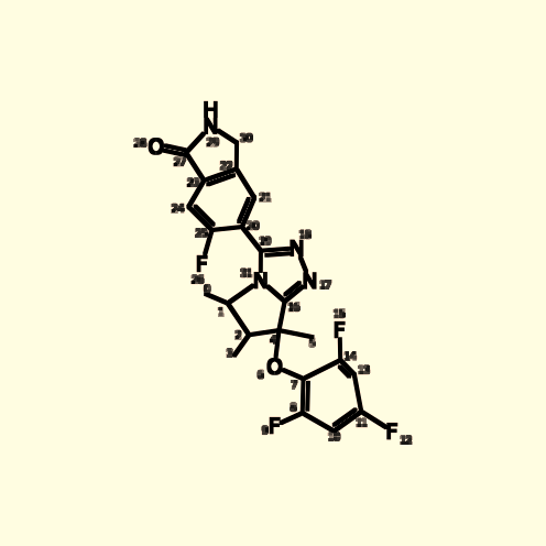 CC1C(C)C(C)(Oc2c(F)cc(F)cc2F)c2nnc(-c3cc4c(cc3F)C(=O)NC4)n21